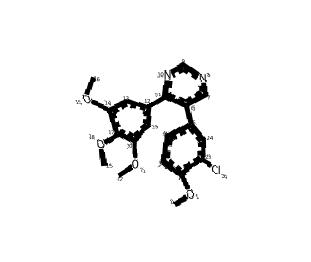 COc1ccc(-c2cncnc2-c2cc(OC)c(OC)c(OC)c2)cc1Cl